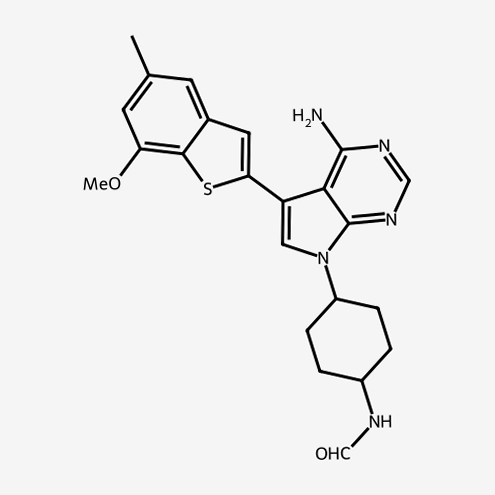 COc1cc(C)cc2cc(-c3cn(C4CCC(NC=O)CC4)c4ncnc(N)c34)sc12